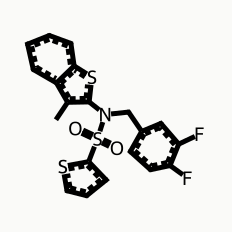 Cc1c(N(Cc2ccc(F)c(F)c2)S(=O)(=O)c2cccs2)sc2ccccc12